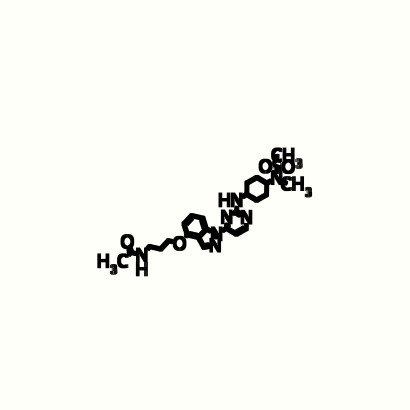 CC(=O)NCCCOc1cccc2c1cnn2-c1ccnc(NC2CCC(N(C)S(C)(=O)=O)CC2)n1